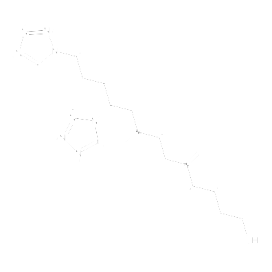 CCCCCC(=O)CCC(=O)CC(CCCn1cnnn1)n1cnnn1